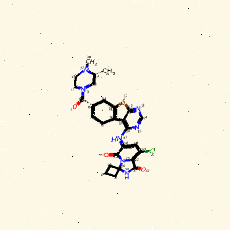 C[C@@H]1CN(C(=O)[C@H]2CCc3c(sc4ncnc(Nc5cc(Cl)c6n(c5=O)C5(CCC5)NC6=O)c34)C2)CCN1C